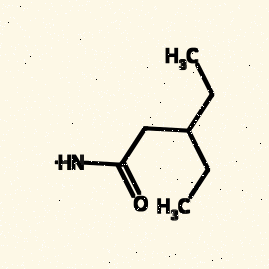 CCC(CC)CC([NH])=O